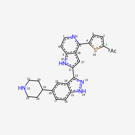 CC(=O)c1ccc(-c2nccc3[nH]c(-c4n[nH]c5ccc(C6CCNCC6)cc45)cc23)s1